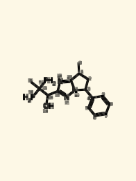 CC1CC(c2ccccc2)n2nc(C(O)C(C)(P)P)nc21